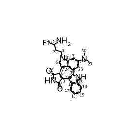 CCC(N)CCn1cc(C2=C(c3c[nH]c4ccccc34)C(=O)NC2=O)c2ccc(N(C)C)cc21